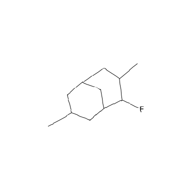 CC1CC2CC(C)C(F)C(C1)C2